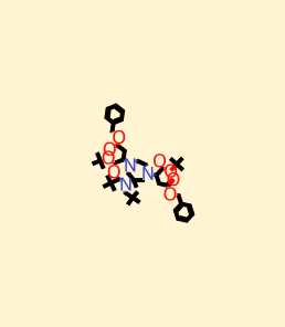 CC(C)(C)CN(CC(C)(C)C)C1(C)CN(C(CC(=O)OCc2ccccc2)C(=O)OC(C)(C)C)CCN(C(CC(=O)OCc2ccccc2)C(=O)OC(C)(C)C)C1